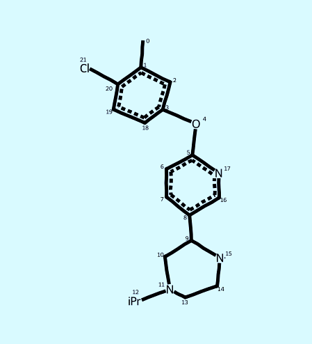 Cc1cc(Oc2ccc(C3CN(C(C)C)CC[N]3)cn2)ccc1Cl